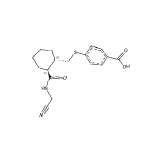 N#CCNC(=O)[C@H]1CCCC[C@@H]1CSc1ccc(C(=O)O)cc1